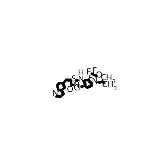 CC(C)CN(C(=O)C(F)(F)F)c1ccc(Cl)c(NC2=NC(=O)C(=Cc3ccc4ncccc4c3)S2)c1